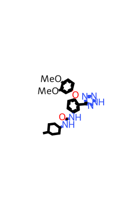 COc1ccc(Oc2ccc(NC(=O)NC3CCC(C)CC3)cc2-c2nn[nH]n2)cc1OC